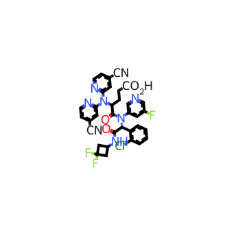 N#Cc1ccnc(N(c2cc(C#N)ccn2)C(CCC(=O)O)C(=O)N(c2cncc(F)c2)[C@H](C(=O)NC2CC(F)(F)C2)c2ccccc2Cl)c1